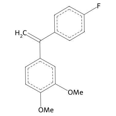 C=C(c1ccc(F)cc1)c1ccc(OC)c(OC)c1